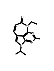 CCN1C(=O)C=Cc2cn(C(C)C)c3nc(C)nc1c23